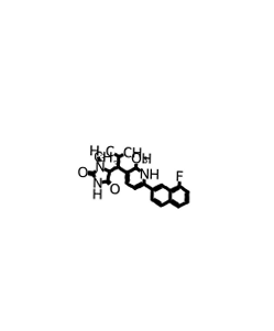 CC(C)C(C1=CC=C(c2ccc3cccc(F)c3c2)NC1O)C1C(=O)NC(=O)N1C